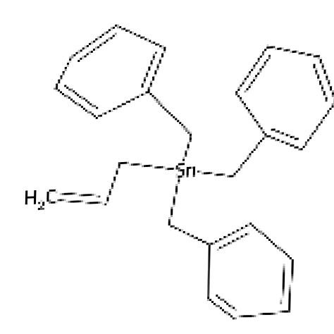 C=C[CH2][Sn]([CH2]c1ccccc1)([CH2]c1ccccc1)[CH2]c1ccccc1